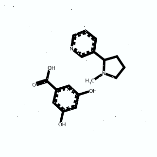 CN1CCCC1c1cccnc1.O=C(O)c1cc(O)cc(O)c1